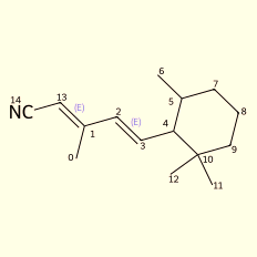 CC(/C=C/C1C(C)CCCC1(C)C)=C\C#N